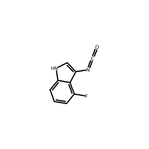 O=C=Nc1c[nH]c2cccc(F)c12